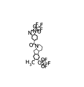 Cc1cc2c(cc1OS(=O)(=O)C(F)(F)F)C1CCCN(C(=O)c3ccc4c(c3)ncn4S(=O)(=O)C(F)(F)F)C1C2